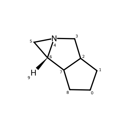 C1CC2CN3C[C@H]3C2C1